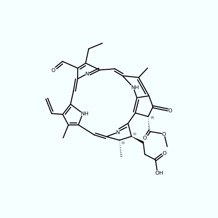 C=Cc1c(C)c2cc3nc(c4c5[nH]c(cc6nc(cc1[nH]2)C(C=O)=C6CC)c(C)c5C(=O)[C@@H]4C(=O)OC)[C@@H](CCC(=O)O)[C@@H]3C